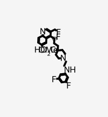 COc1ccc2ncc(CF)c([C@H](F)CCC3(C(=O)O)CCN(CCNc4cc(F)cc(F)c4)CC3)c2c1